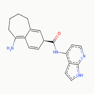 NC1=C2C=C[C@H](C(=O)Nc3ccnc4[nH]ccc34)C=C2CCCC1